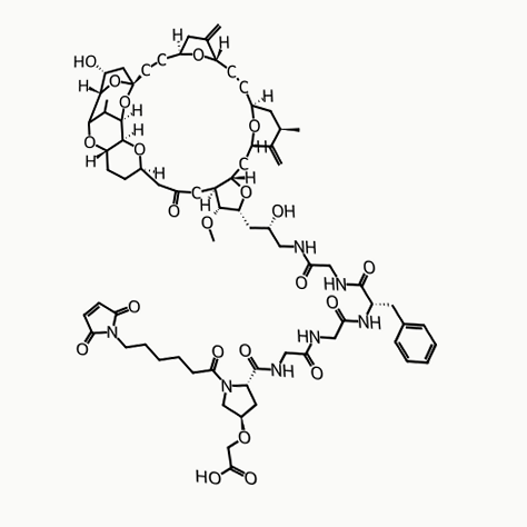 C=C1C[C@@H]2CC[C@]34C[C@@H](O)[C@H](O3)C3O[C@H]5CC[C@H](CC(=O)C[C@@H]6[C@@H](OC)[C@@H](C[C@H](O)CNC(=O)CNC(=O)[C@H](Cc7ccccc7)NC(=O)CNC(=O)CNC(=O)[C@@H]7C[C@@H](OCC(=O)O)CN7C(=O)CCCCCN7C(=O)C=CC7=O)O[C@H]6C[C@H]6O[C@@H](CC[C@@H]1O2)C[C@@H](C)C6=C)O[C@@H]5[C@H](O4)C3C